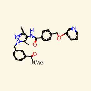 CNC(=O)c1cccc(Cn2nc(C)c(NC(=O)c3ccc(COc4cccnc4)cc3)c2C)c1